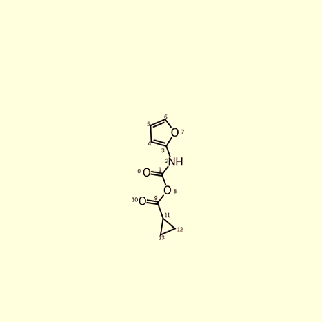 O=C(Nc1ccco1)OC(=O)C1CC1